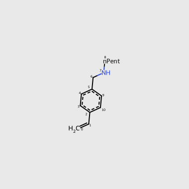 C=Cc1ccc(CNCCCCC)cc1